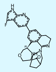 O=C1C2CCC1CN(C1=NCCc3cc(-c4cnc5[nH]cc(F)c5c4)cc([C@@H]4COCCN4)c31)C2